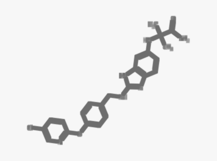 CC(C)(Nc1ccc2nc(NCc3ccc(Oc4ccc(Cl)cn4)cc3)[nH]c2c1)C(N)=O